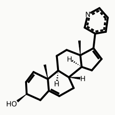 C[C@]12C=C[C@H](O)CC1=CC[C@@H]1[C@@H]2CC[C@]2(C)C(c3cccnc3)=CC[C@@H]12